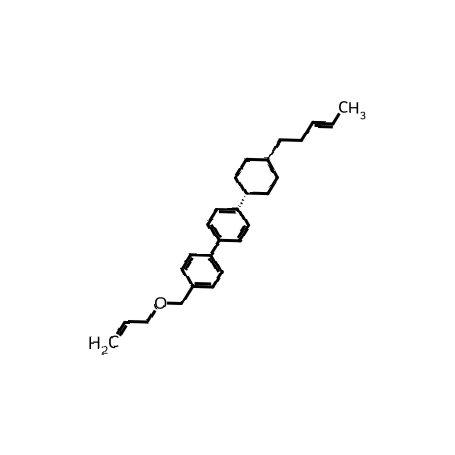 C=CCOCc1ccc(-c2ccc([C@H]3CC[C@H](CCC=CC)CC3)cc2)cc1